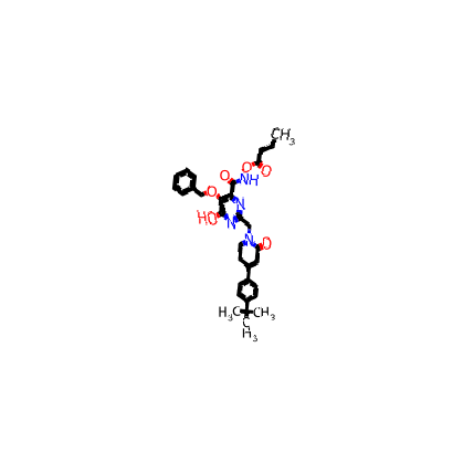 CCCC(=O)ONC(=O)c1nc(CN2CCC(c3ccc(C(C)(C)C)cc3)CC2=O)nc(O)c1OCc1ccccc1